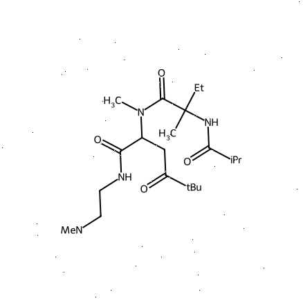 CCC(C)(NC(=O)C(C)C)C(=O)N(C)C(CC(=O)C(C)(C)C)C(=O)NCCNC